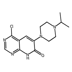 CC(C)N1CCN(c2cc3c(Cl)ncnc3[nH]c2=O)CC1